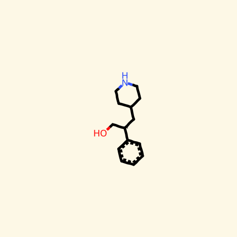 OC[C](CC1CCNCC1)c1ccccc1